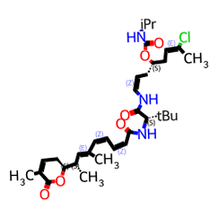 CC1=CC[C@@H]([C@@H](C)/C=C(C)/C=C\C=C/C(=O)N[C@H](C(=O)N/C=C\C[C@@H](C/C=C(\C)Cl)OC(=O)NC(C)C)C(C)(C)C)OC1=O